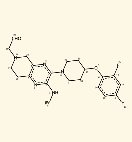 CC(C)Nc1nc2c(nc1N1CCC(Oc3ccc(F)cc3F)CC1)CN(CC=O)CC2